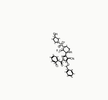 N#Cc1c(C2NCCN(S(=O)(=O)N3CCC(O)C3)C2C(F)(F)F)nn(C(=O)c2ccccc2Cl)c1OCc1ccccc1